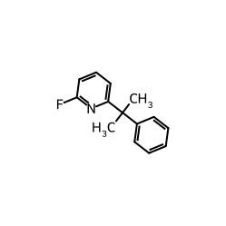 CC(C)(c1ccccc1)c1cccc(F)n1